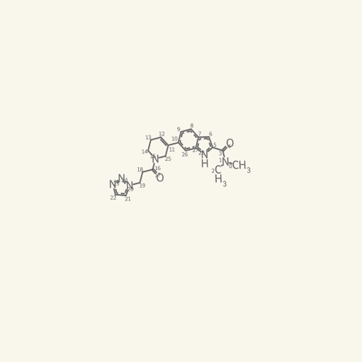 CN(C)C(=O)c1cc2ccc(C3=CCCN(C(=O)CCn4ccnn4)C3)cc2[nH]1